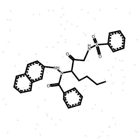 CCCCC(C(=O)CNS(=O)(=O)c1ccccc1)N(Nc1ccc2ccccc2c1)C(=O)c1ccccc1